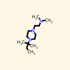 CCC(C)(C)N1CCN(CCN(C)C)CC1